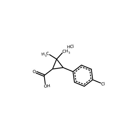 CC1(C)C(C(=O)O)C1c1ccc(Cl)cc1.Cl